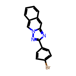 Brc1ccc(-c2nc3cc4ccccc4cn3n2)cc1